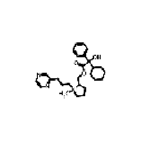 C[N+]1(CCCc2cnccn2)CCC[C@@H]1COC(=O)C(O)(c1ccccc1)C1CCCCC1